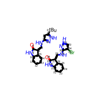 CC(C)(C)c1cc(NC=C2C(=O)Nc3ccccc32)n[nH]1.O=C1Nc2ccccc2C1=CNc1n[nH]cc1Br